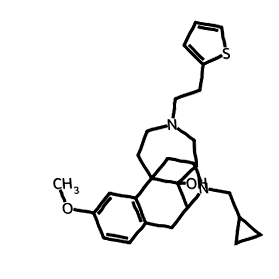 COc1ccc2c(c1)C13CCN(CCc4cccs4)CCC1(O)C(C2)N(CC1CC1)CC3